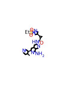 CCS(=O)(=O)n1cc(C2CC2C(=O)Nc2cc3cc(-c4cnccc4C)nc(N)c3cn2)cn1